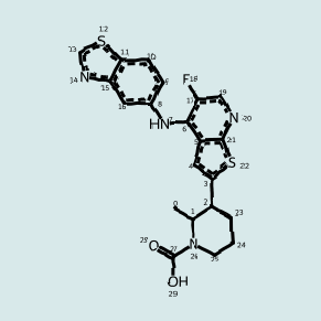 CC1C(c2cc3c(Nc4ccc5scnc5c4)c(F)cnc3s2)CCCN1C(=O)O